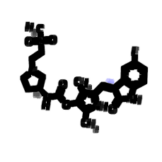 Cc1[nH]c(/C=C2\C(=O)Nc3ccc(F)cc32)c(C)c1OC(=O)N[C@H]1CCN(CCS(C)(=O)=O)C1